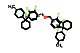 C[C@H]1CC[C@H](C2([C@@]3(F)C=C[C@@H](COC[C@@H]4C=C[C@](F)(C5([C@H]6CC[C@H](C)CC6)CCCCC5)C(F)=C4F)C(F)=C3F)CCCCC2)CC1